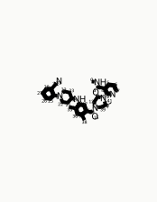 CNC(=O)c1cccnc1N1CCN(C(=O)c2cc(NC3CCN(c4ccccc4C#N)CC3)c(C)cc2C)C[C@H]1C